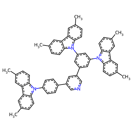 Cc1ccc2c(c1)c1cc(C)ccc1n2-c1ccc(-c2cncc(-c3cc(-n4c5ccc(C)cc5c5cc(C)ccc54)cc(-n4c5ccc(C)cc5c5cc(C)ccc54)c3)c2)cc1